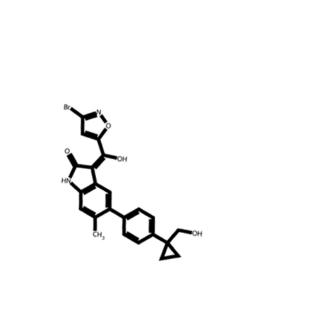 Cc1cc2c(cc1-c1ccc(C3(CO)CC3)cc1)C(=C(O)c1cc(Br)no1)C(=O)N2